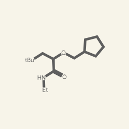 CCNC(=O)C(CC(C)(C)C)OCC1CCCC1